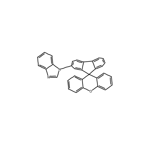 c1ccc2c(c1)Oc1ccccc1C21c2ccccc2-c2ccc(-n3cnc4ccccc43)cc21